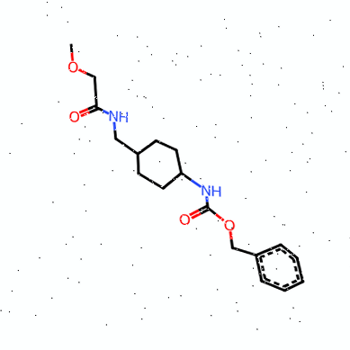 COCC(=O)NCC1CCC(NC(=O)OCc2ccccc2)CC1